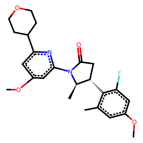 COc1cc(C2CCOCC2)nc(N2C(=O)C[C@H](c3c(C)cc(OC)cc3F)[C@H]2C)c1